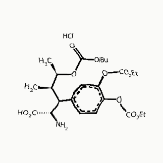 CCOC(=O)Oc1ccc(C([C@H](N)C(=O)O)[C@@H](C)[C@@H](C)OC(=O)OCC(C)C)cc1OC(=O)OCC.Cl